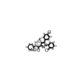 COc1c(C(=O)NC23CCCCN2O3)nn(-c2ccccc2Cl)c1-c1ccc(Cl)cc1